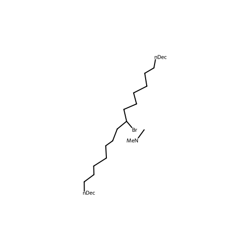 CCCCCCCCCCCCCCCCCC(Br)CCCCCCCCCCCCCCCC.CNC